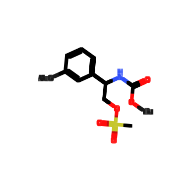 COc1cccc(C(COS(C)(=O)=O)NC(=O)OC(C)(C)C)c1